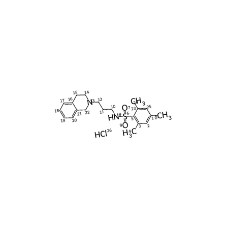 Cc1cc(C)c(S(=O)(=O)NCCCN2CCc3ccccc3C2)c(C)c1.Cl